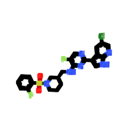 O=S(=O)(c1ccccc1F)N1CCC[C@H](CNc2nc(-c3c[nH]c4ncc(Cl)cc34)ncc2F)C1